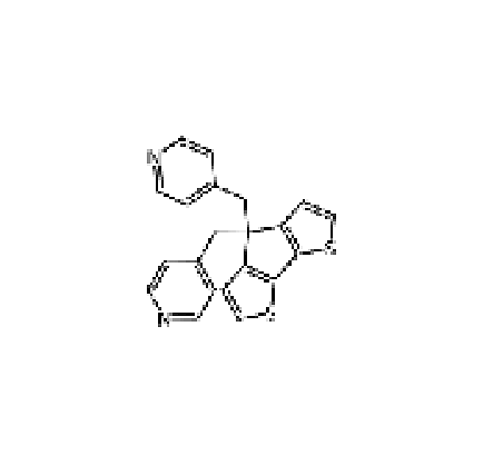 c1cc(CC2(Cc3ccncc3)c3ccsc3-c3sccc32)ccn1